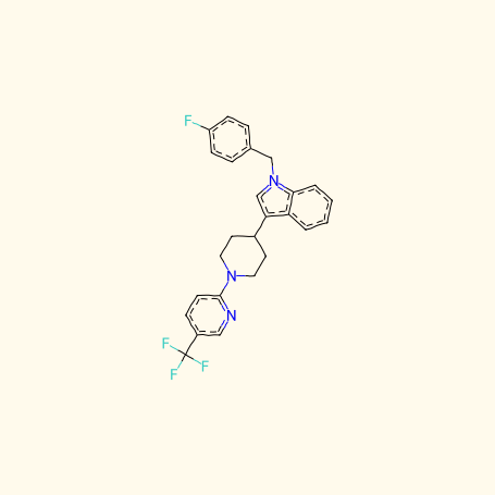 Fc1ccc(Cn2cc(C3CCN(c4ccc(C(F)(F)F)cn4)CC3)c3ccccc32)cc1